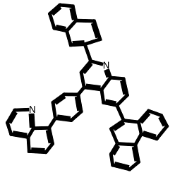 c1ccc2cc(-c3cc(-c4ccc(-c5cccc6cccnc56)cc4)c4cc(-c5cc6ccccc6c6ccccc56)ccc4n3)ccc2c1